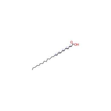 CCCCCCCCCCCCC/C=C/C=C/C=C/C=C/C=C/C(=O)O